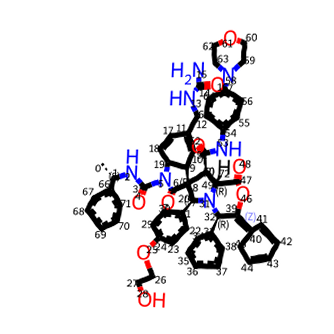 C[C@H](NC(=O)N1C(=O)[C@@]2(C3C=C(CNC(N)=O)C=CC31)[C@H](c1ccc(OCCO)cc1)N1[C@H](c3ccccc3)/C(=C3/C=CC=CC3)OC(=O)[C@H]1[C@@H]2C(=O)Nc1ccc(N2CCOCC2)cc1)c1ccccc1